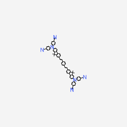 CC1(C)c2cc(/C=C/c3ccc(/C=C/c4ccc5c(c4)C(C)(C)c4cc(N(c6ccc(C#N)cc6)c6ccc(C#N)cc6)ccc4-5)cc3)ccc2-c2ccc(N(c3ccc(C#N)cc3)c3ccc(C#N)cc3)cc21